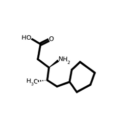 C[C@@H](CC1CCCCC1)[C@H](N)CC(=O)O